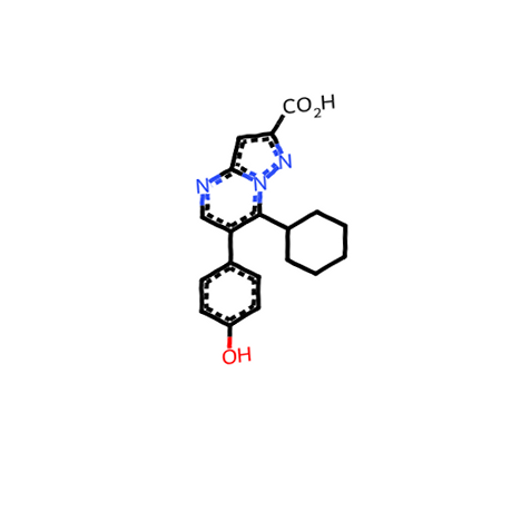 O=C(O)c1cc2ncc(-c3ccc(O)cc3)c(C3CCCCC3)n2n1